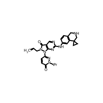 C=CCn1c(=O)c2cnc(Nc3ccc4c(c3)C3(CC3)CNC4)nc2n1-c1ccc(=O)n(C(C)C)n1